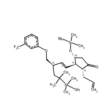 C=CC[C@H]1C(=O)C[C@@H](O[Si](C)(C)C(C)(C)C)[C@@H]1/C=C/[C@H](COc1cccc(C(F)(F)F)c1)CC(C)(C)[Si](C)(C)O